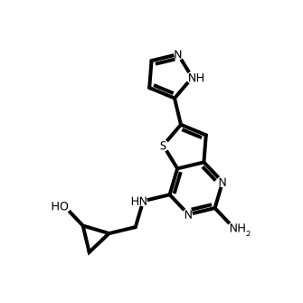 Nc1nc(NCC2CC2O)c2sc(-c3ccn[nH]3)cc2n1